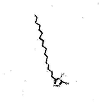 CCCCCCCCCCCCCCCCCc1nnc(S)n1N